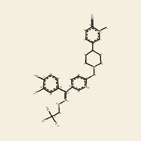 Cn1cc(C2CCN(Cc3ccc(/C(=N/OCC(F)(F)F)c4ccc(F)c(F)c4)cn3)CC2)ccc1=O